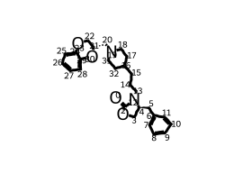 O=C1OC[C@H](Cc2ccccc2)N1CCCC1CCN(C[C@H]2COc3ccccc3O2)CC1